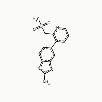 CS(=O)(=O)Cc1ncccc1-c1ccc2nc(N)sc2c1